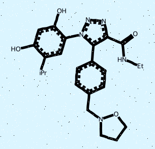 CCNC(=O)c1nnn(-c2cc(C(C)C)c(O)cc2O)c1-c1ccc(CN2CCCO2)cc1